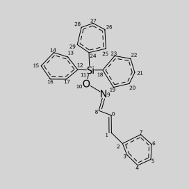 C(=Cc1ccccc1)C=NO[Si](c1ccccc1)(c1ccccc1)c1ccccc1